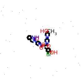 CC1(O)CCN(C2CCN(C(=O)[C@@H](Cc3ccc(O)c(Br)c3)OC(=O)N3CCC(N4CCc5ccccc5NC4=O)CC3)CC2)CC1